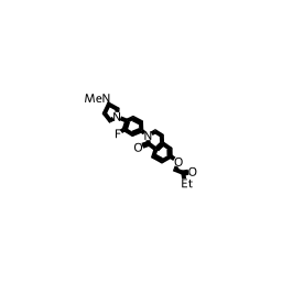 CCC(=O)COc1ccc2c(c1)CCN(c1ccc(N3CC[C@@H](NC)C3)c(F)c1)C2=O